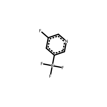 Fc1cncc([B-](F)(F)F)c1